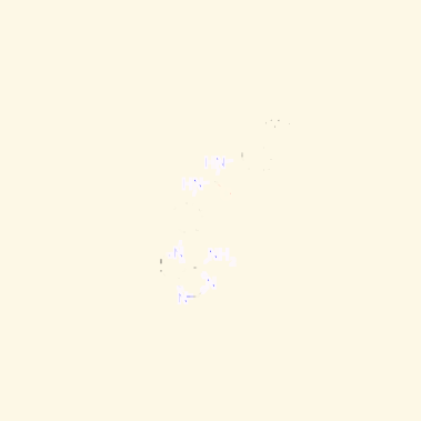 COc1cccc(NC(=O)Nc2ccc(-n3c4c(c5ncnc(N)c53)CCC4)cc2)c1